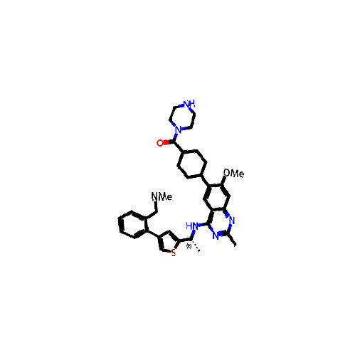 CNCc1ccccc1-c1csc([C@@H](C)Nc2nc(C)nc3cc(OC)c(C4CCC(C(=O)N5CCNCC5)CC4)cc23)c1